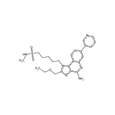 CCOCc1nc2c(N)nc3cc(-c4cccnc4)ccc3c2n1CCCCCS(=O)(=O)NC